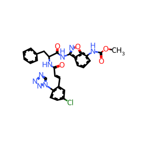 COC(=O)Nc1cccc2c(NC(=O)C(Cc3ccccc3)NC(=O)C=Cc3cc(Cl)ccc3-n3cnnn3)noc12